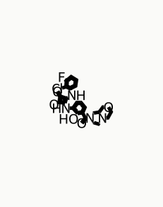 O=C(c1cccc(Nc2c(Nc3cccc(F)c3Cl)c(=O)c2=O)c1O)N1CCN2CCOCC2C1